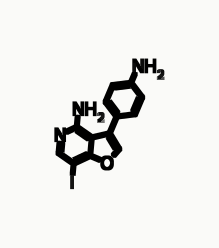 Nc1ccc(-c2coc3c(I)cnc(N)c23)cc1